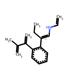 C=CN/C=C(\CC)c1ccccc1C(=C)C(=C)C